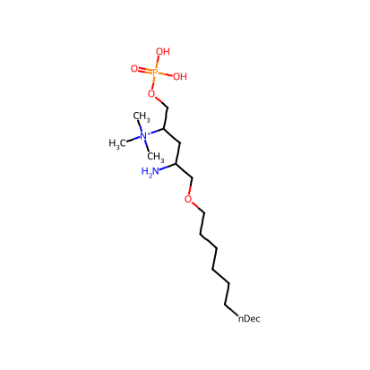 CCCCCCCCCCCCCCCCOCC(N)CC(COP(=O)(O)O)[N+](C)(C)C